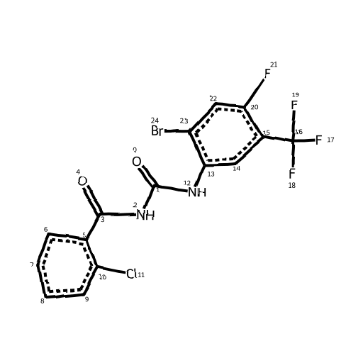 O=C(NC(=O)c1ccccc1Cl)Nc1cc(C(F)(F)F)c(F)cc1Br